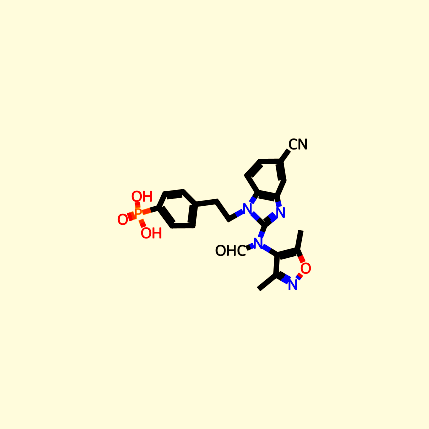 Cc1noc(C)c1N(C=O)c1nc2cc(C#N)ccc2n1CCc1ccc(P(=O)(O)O)cc1